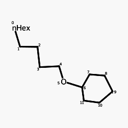 CCCCCCCCCCOC1CC[CH]CC1